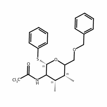 C[C@@H]1C(NC(=O)C(Cl)(Cl)Cl)[C@H](Sc2ccccc2)OC(COCc2ccccc2)[C@@H]1C